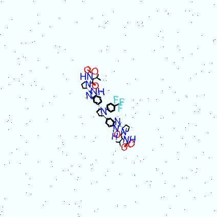 COC(=O)N[C@H](C(=O)N1CCC[C@H]1c1nc2cc([C@H]3CC[C@H](c4ccc5[nH]c([C@@H]6CCCN6C(=O)[C@@H](NC(=O)OC)C(C)C)nc5c4)N3c3ccc(C(F)(F)F)cc3)ccc2[nH]1)C(C)C